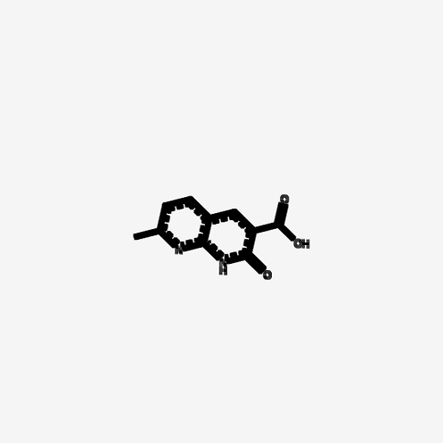 Cc1ccc2cc(C(=O)O)c(=O)[nH]c2n1